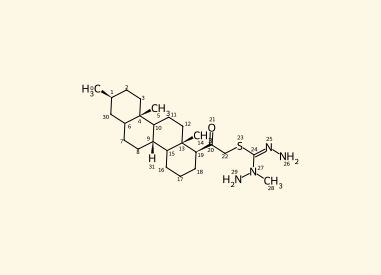 C[C@H]1CC[C@@]2(C)C(CC[C@@H]3C2CC[C@@]2(C)C3CCC[C@@H]2C(=O)CS/C(=N/N)N(C)N)C1